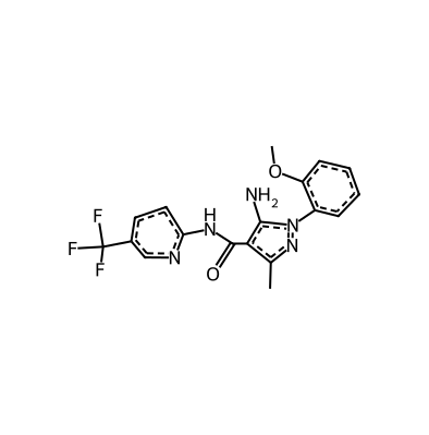 COc1ccccc1-n1nc(C)c(C(=O)Nc2ccc(C(F)(F)F)cn2)c1N